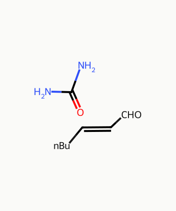 CCCC/C=C/C=O.NC(N)=O